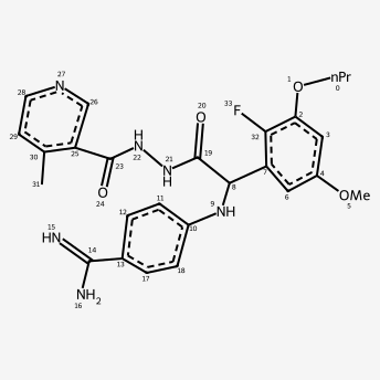 CCCOc1cc(OC)cc(C(Nc2ccc(C(=N)N)cc2)C(=O)NNC(=O)c2cnccc2C)c1F